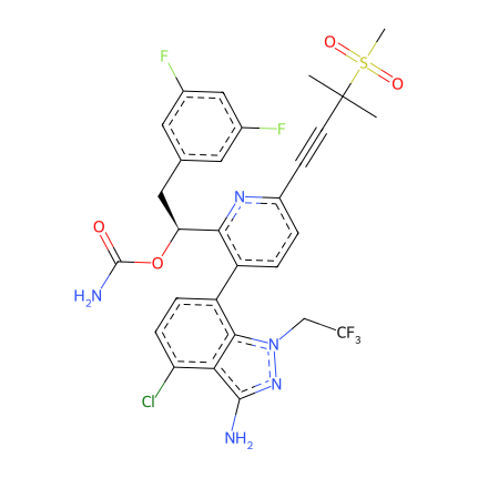 CC(C)(C#Cc1ccc(-c2ccc(Cl)c3c(N)nn(CC(F)(F)F)c23)c([C@H](Cc2cc(F)cc(F)c2)OC(N)=O)n1)S(C)(=O)=O